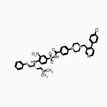 CN(C)CC[C@H](CSc1ccccc1)Nc1ccc(S(=O)(=O)NC(=O)c2ccc(N3CCN(Cc4cnccc4-c4ccc(Cl)cc4)CC3)cc2)cc1[N+](=O)[O-]